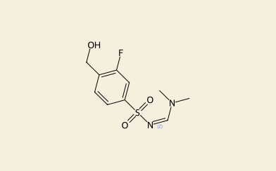 CN(C)/C=N\S(=O)(=O)c1ccc(CO)c(F)c1